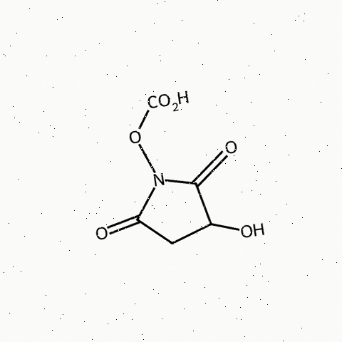 O=C(O)ON1C(=O)CC(O)C1=O